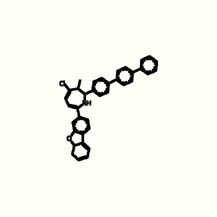 CC1C(Cl)=CC=C(c2ccc3c(c2)OC2CC=CC=C32)NC1c1ccc(-c2ccc(-c3ccccc3)cc2)cc1